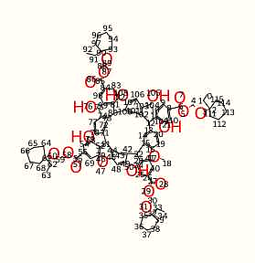 CCC1(OCOC(=O)c2ccc(C3c4cc(c(OC)cc4O)C(c4ccc(C(=O)OCOC5(CC)CCCCC5)cc4)c4cc(c(OC)cc4O)C(c4ccc(C(=O)OCOC5(CC)CCCCC5)cc4)c4cc(c(CO)cc4O)C(c4ccc(C(=O)OCOC5(CC)CCCCC5)cc4)c4cc3c(CO)cc4O)cc2)CCCCC1